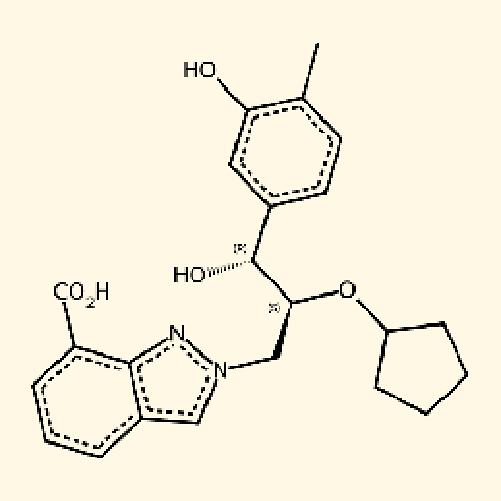 Cc1ccc([C@@H](O)[C@H](Cn2cc3cccc(C(=O)O)c3n2)OC2CCCC2)cc1O